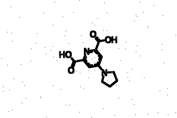 O=C(O)c1cc(N2CCCC2)cc(C(=O)O)n1